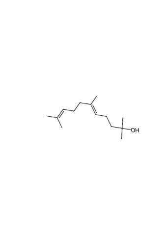 CC(C)=CCCC(C)=CCCC(C)(C)O